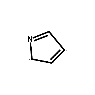 [C]1=[C]C=N[CH]1